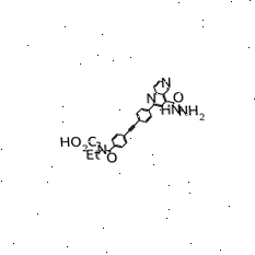 CCN(CC(=O)O)C(=O)c1ccc(C#Cc2ccc(-c3cc(C(=O)NN)c4cnccc4n3)cc2)cc1